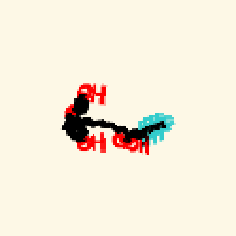 CCC1(c2ccc(O)cc2)COc2cc(O)ccc2C1CCCCCCCCC(CCC(F)(F)C(F)(F)C(F)(F)C(F)(F)F)C(=O)O